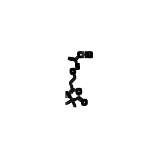 C=C(C=O)SOCCC1=NC(C)(C)C(=O)O1